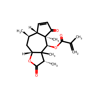 C=C(C)C(=O)O[C@H]1C2(C)[C@H](C)C(=O)O[C@@H]2C[C@@H](C)[C@@H]2C=CC(=O)[C@]21C